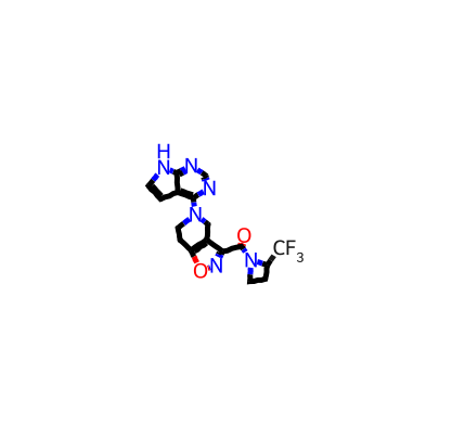 O=C(c1noc2c1CN(c1ncnc3[nH]ccc13)CC2)N1CCC1C(F)(F)F